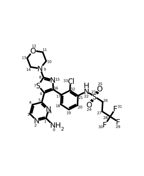 Nc1nccc(-c2sc(N3CCOCC3)nc2-c2cccc(NS(=O)(=O)CCC(F)(F)F)c2Cl)n1